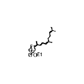 CCOP(=O)(CC=C(C)C=CC=C(C)CCC=C(C)C)OCC